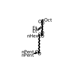 CCCCCCCCC(=O)OCCN(CCOC(=O)OC(CCCCCC)CCCCCCCCCC(=O)OCC(CCCCC)CCCCC)CCN(CC)CC